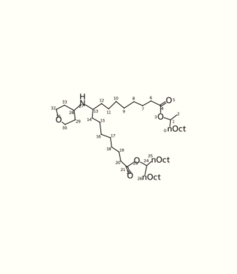 CCCCCCCCC(C)OC(=O)CCCCCCCC(CCCCCCCC(=O)OC(CCCCCCCC)CCCCCCCC)NC1CCOCC1